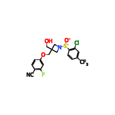 N#Cc1ccc(OCC2(CO)CN([S+]([O-])c3ccc(C(F)(F)F)cc3Cl)C2)cc1F